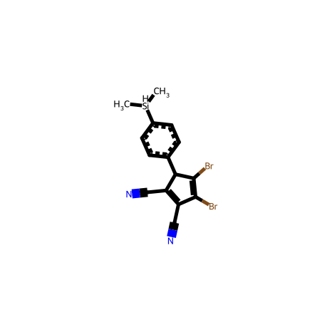 C[SiH](C)c1ccc(C2C(Br)=C(Br)C(C#N)=C2C#N)cc1